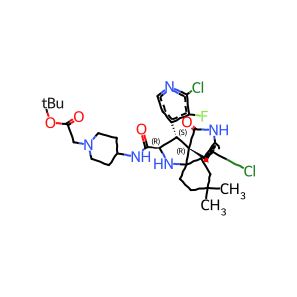 CC1(C)CCC2(CC1)N[C@@H](C(=O)NC1CCN(CC(=O)OC(C)(C)C)CC1)[C@H](c1ccnc(Cl)c1F)[C@]21C(=O)Nc2cc(Cl)ccc21